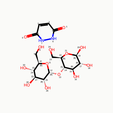 O=c1ccc(=O)[nH][nH]1.OC[C@H]1O[C@H](O[C@H]2[C@H](O)[C@@H](O)[C@H](O)O[C@@H]2CO)[C@H](O)[C@@H](O)[C@@H]1O